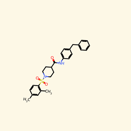 Cc1ccc(S(=O)(=O)N2CCC(C(=O)Nc3ccc(Cc4ccccc4)cc3)CC2)c(C)c1